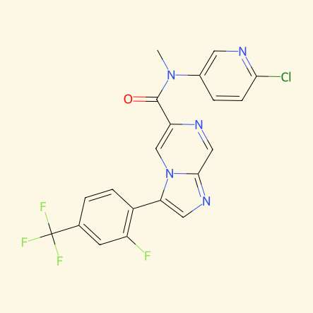 CN(C(=O)c1cn2c(-c3ccc(C(F)(F)F)cc3F)cnc2cn1)c1ccc(Cl)nc1